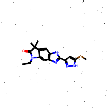 CCN1C(=O)C(C)(C)c2cc3[nH]c(-c4cc(SC)[nH]n4)nc3cc21